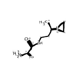 CC(CCNC(=O)C(N)=O)N1CC1